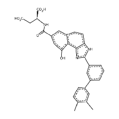 Cc1ccc(-c2cccc(-c3nc4c(ccc5cc(C(=O)N[C@@H](CC(=O)O)C(=O)O)cc(O)c54)[nH]3)c2)cc1C